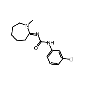 CN1CCCCCC1=NC(=O)Nc1cccc(Cl)c1